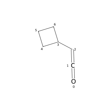 O=C=CC1CCC1